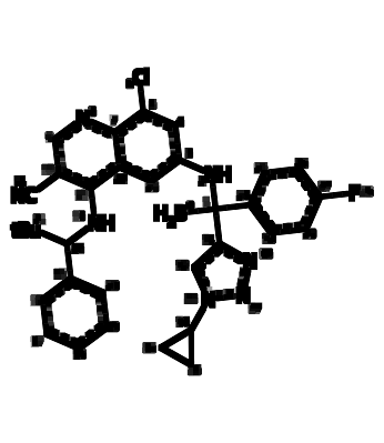 BC(Nc1cc(Cl)c2ncc(C#N)c(NC(c3ccccc3)C(C)(C)C)c2c1)(c1ccc(F)cc1)c1cn(C2CC2)nn1